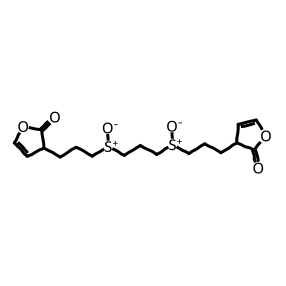 O=C1OC=CC1CCC[S+]([O-])CCC[S+]([O-])CCCC1C=COC1=O